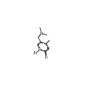 CCn1cc(CN(C)C)c(C)cc1=O